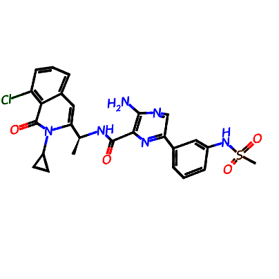 C[C@H](NC(=O)c1nc(-c2cccc(NS(C)(=O)=O)c2)cnc1N)c1cc2cccc(Cl)c2c(=O)n1C1CC1